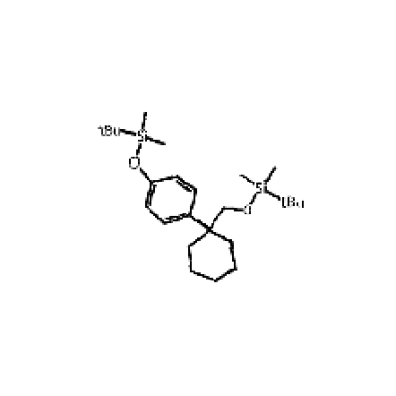 CC(C)(C)[Si](C)(C)OCC1(c2ccc(O[Si](C)(C)C(C)(C)C)cc2)CCCCC1